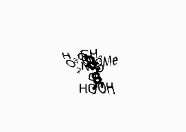 COc1c(C(=O)C2=Cc3cc(CO)c(CO)cc3OC2)cc([N+](=O)[O-])c2c1C=CC(C)(C)O2